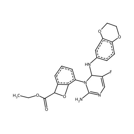 CCOC(=O)C1Oc2c1cccc2N1C(N)=NC=C(F)C1Nc1ccc2c(c1)OCCO2